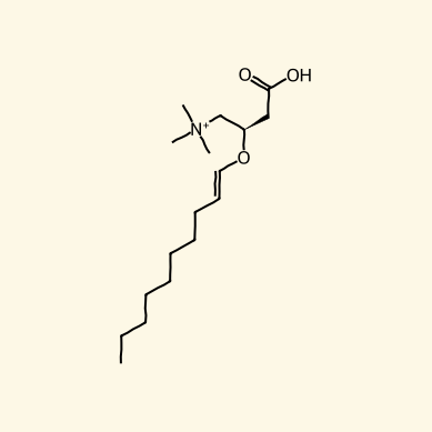 CCCCCCCCC=CO[C@H](CC(=O)O)C[N+](C)(C)C